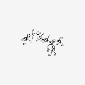 C[SiH](O[Si](C)(C)O[Si](C)(C)O[Si](C)(C)C)[Si](C)(O[Si](C)(C)C)O[Si](C)(C)C